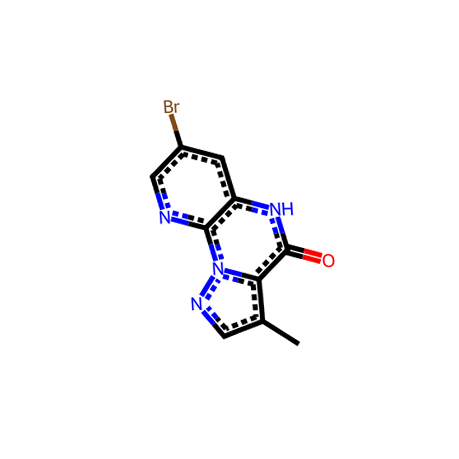 Cc1cnn2c1c(=O)[nH]c1cc(Br)cnc12